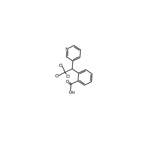 O=C(O)c1ccccc1C(c1cccnc1)C(Cl)(Cl)Cl